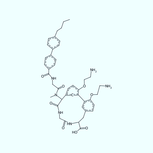 CCCCc1ccc(-c2ccc(C(=O)NCC(=O)N(C)C3C(=O)NCC(=O)NC(C(=O)O)Cc4ccc(OCCN)c(c4)-c4cc3ccc4OCCN)cc2)cc1